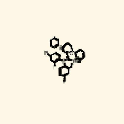 CCCCN(P(c1ccc(F)cc1F)c1ccc(F)cc1F)P1C[C@H](c2ccccc2)CC[C@H]1c1ccccc1